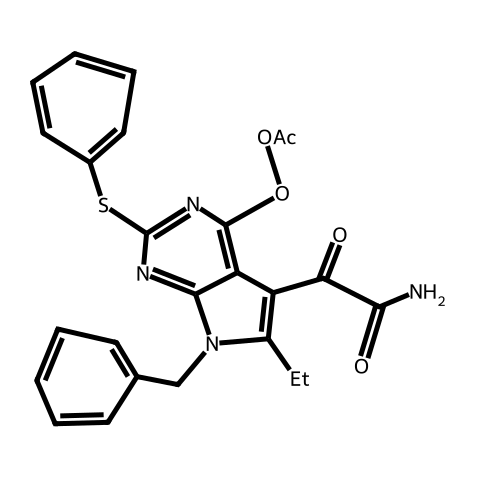 CCc1c(C(=O)C(N)=O)c2c(OOC(C)=O)nc(Sc3ccccc3)nc2n1Cc1ccccc1